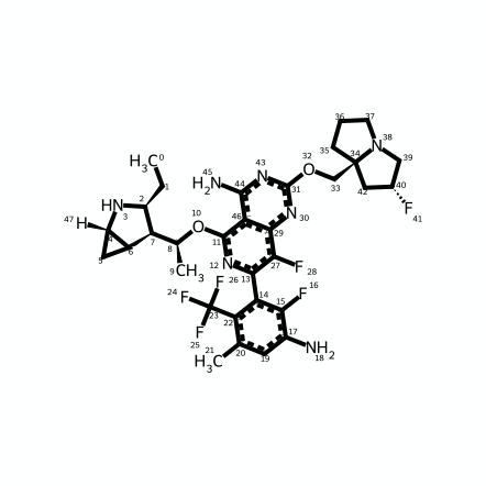 CC[C@@H]1N[C@H]2CC2[C@@H]1[C@H](C)Oc1nc(-c2c(F)c(N)cc(C)c2C(F)(F)F)c(F)c2nc(OC[C@@]34CCCN3C[C@H](F)C4)nc(N)c12